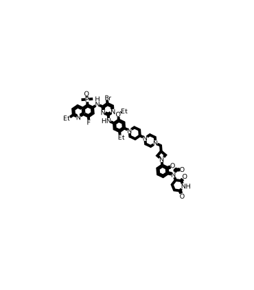 CCOc1cc(N2CCC(N3CCN(CC4CN(c5cccc6c5oc(=O)n6C5CCC(=O)NC5=O)C4)CC3)CC2)c(CC)cc1Nc1ncc(Br)c(Nc2cc(F)c3nc(CC)ccc3c2P(C)(C)=O)n1